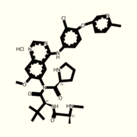 CN[C@@H](C)C(=O)N[C@H](C(=O)N(C(=O)[C@@H]1CCCN1)c1cc2c(Nc3ccc(Oc4ccc(C)nc4)c(Cl)c3)ncnc2cc1OC)C(C)(C)C.Cl